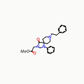 COC(=O)CN1CN(c2ccccc2)C2(CCN(CCc3ccccc3)CC2)C1=O